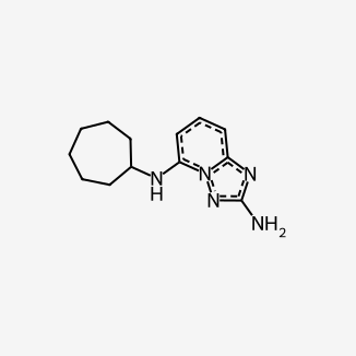 Nc1nc2cccc(NC3CCCCCC3)n2n1